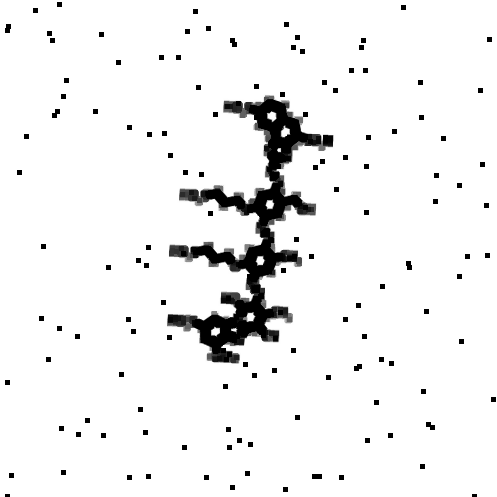 COc1cc(S(=O)(=O)O)cc2c1nc1c(C#N)c(C)c(N=Nc3cc(C)c(N=Nc4cc(CO)c(N=Nc5nc6c(S(=O)(=O)O)cc7ccc(S(=O)(=O)O)cc7c6s5)cc4SCCCS(=O)(=O)O)cc3OCCCS(=O)(=O)O)c(O)n12